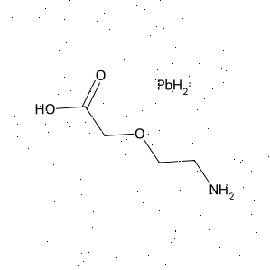 NCCOCC(=O)O.[PbH2]